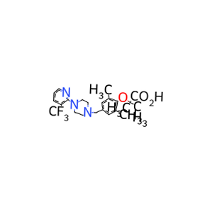 Cc1cc(CN2CCN(c3ncccc3C(F)(F)F)CC2)cc(C)c1OC(C)(C)C(=O)O